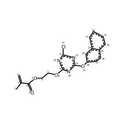 C=C(C)C(=O)OCCOc1nc(Cl)nc(Oc2ccc3ccccc3c2)n1